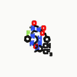 Cc1cc(C(F)(F)F)c(C#N)c(N[C@H]2CCN(CC3CN(C(=O)OCc4ccccc4)CC(=O)N3C)c3c(F)cccc3N(C)C2=O)n1